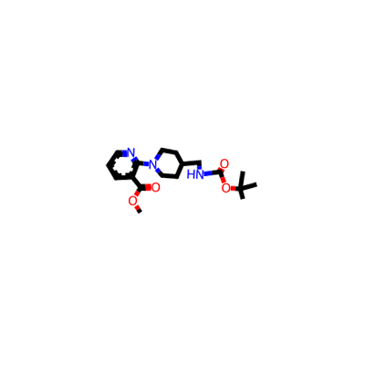 COC(=O)c1cccnc1N1CCC(CNC(=O)OC(C)(C)C)CC1